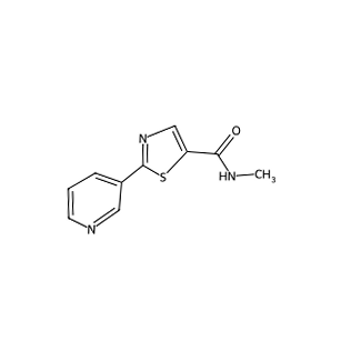 CNC(=O)c1cnc(-c2cccnc2)s1